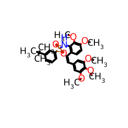 COc1cc(/C=C\c2ccc(OC)c(OC)c2NS(=O)(=O)c2cccc(C(C)(C)C)c2)cc(OC)c1OC